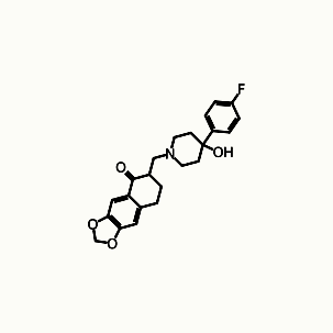 O=C1c2cc3c(cc2CCC1CN1CCC(O)(c2ccc(F)cc2)CC1)OCO3